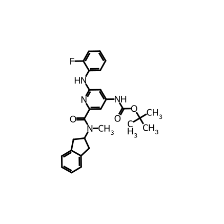 CN(C(=O)c1cc(NC(=O)OC(C)(C)C)cc(Nc2ccccc2F)n1)C1Cc2ccccc2C1